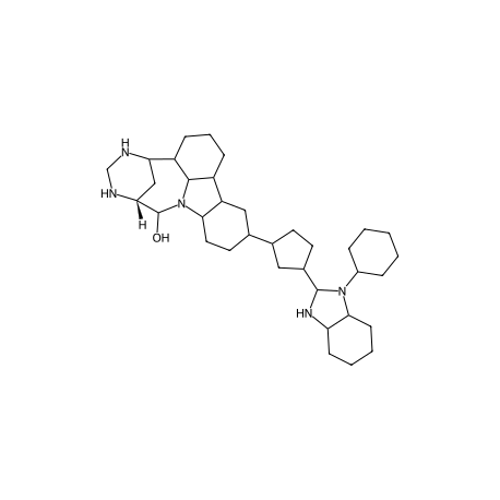 OC1[C@H]2CC(NCN2)C2CCCC3C4CC(C5CCC(C6NC7CCCCC7N6C6CCCCC6)C5)CCC4N1C23